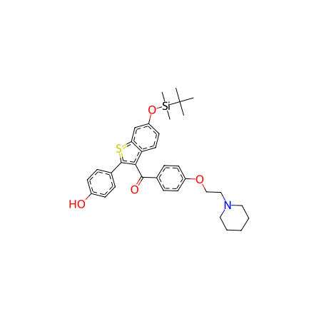 CC(C)(C)[Si](C)(C)Oc1ccc2c(C(=O)c3ccc(OCCN4CCCCC4)cc3)c(-c3ccc(O)cc3)sc2c1